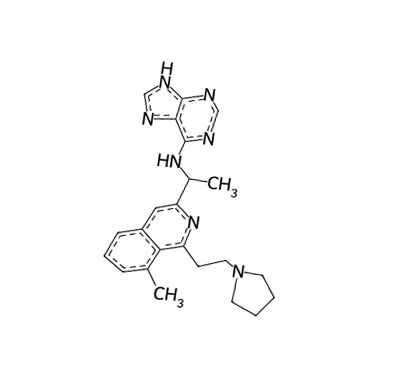 Cc1cccc2cc(C(C)Nc3ncnc4[nH]cnc34)nc(CCN3CCCC3)c12